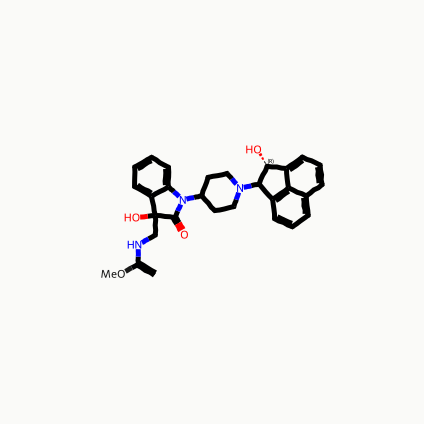 C=C(NCC1(O)C(=O)N(C2CCN(C3c4cccc5cccc(c45)[C@H]3O)CC2)c2ccccc21)OC